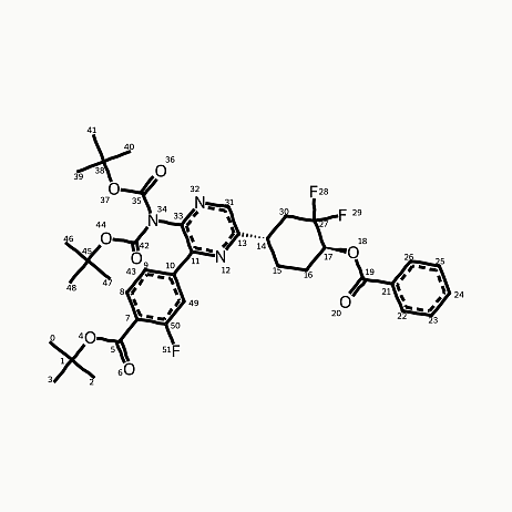 CC(C)(C)OC(=O)c1ccc(-c2nc([C@H]3CC[C@H](OC(=O)c4ccccc4)C(F)(F)C3)cnc2N(C(=O)OC(C)(C)C)C(=O)OC(C)(C)C)cc1F